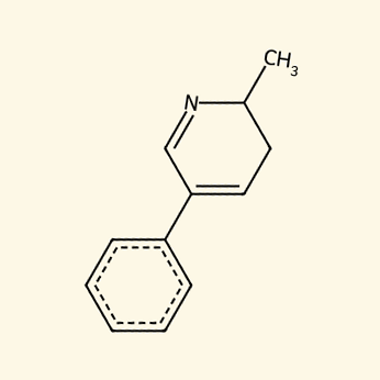 CC1CC=C(c2ccccc2)C=N1